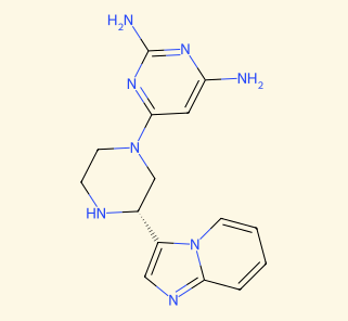 Nc1cc(N2CCN[C@@H](c3cnc4ccccn34)C2)nc(N)n1